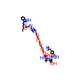 CCCCC(Cc1c[nH]c2ccccc12)NC(=O)c1cnc(N2CCN(CCOCCOCCOCCOCCOCC(=O)N[C@H](C(=O)N3C[C@H](O)C[C@H]3C(=O)N[C@@H](C)c3ccc(-c4scnc4C)cc3)C(C)(C)C)CC2)s1